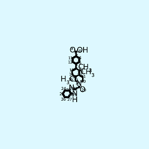 CC1(C)C(c2ccc(C(=O)O)cc2)=CC[C@]2(C)CN(C(=O)c3nc4ccccc4[nH]3)CC=C12